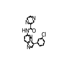 O=C(Nc1ccc2ncc(-c3cccc(Cl)c3)n2n1)c1cnccn1